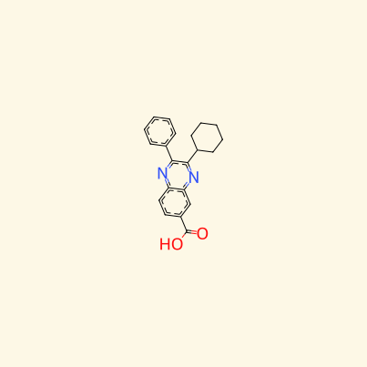 O=C(O)c1ccc2nc(-c3ccccc3)c(C3CCCCC3)nc2c1